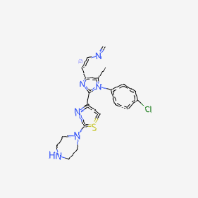 C=N/C=C\c1nc(-c2csc(N3CCNCC3)n2)n(-c2ccc(Cl)cc2)c1C